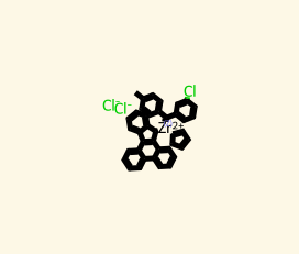 Cc1ccc(/[C](c2cccc(Cl)c2)=[Zr+2](/[C]2=CC=CC2)[CH]2c3ccccc3-c3c2c2ccccc2c2ccccc32)cc1.[Cl-].[Cl-]